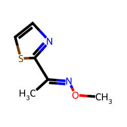 CON=C(C)c1nccs1